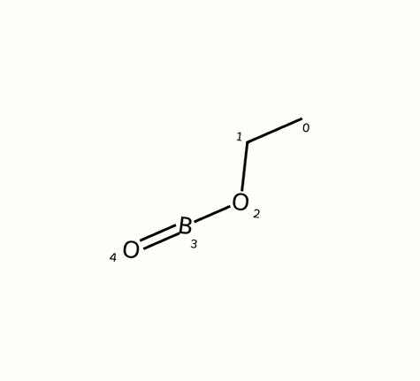 CCOB=O